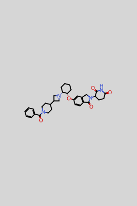 O=C1CCC(N2Cc3cc(O[C@H]4CCCC[C@H]4N4CC(C5CCN(C(=O)c6ccccc6)CC5)C4)ccc3C2=O)C(=O)N1